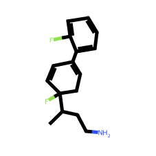 CC(CCN)C1(F)C=CC(c2ccccc2F)=CC1